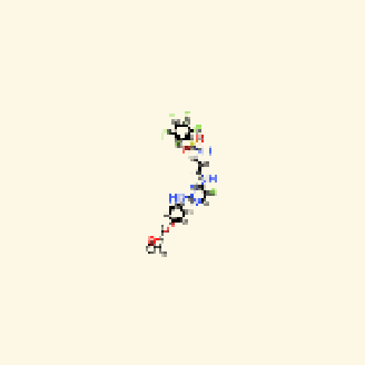 COCCOc1ccc(Nc2ncc(F)c(NCCCNS(=O)(=O)c3c(F)c(F)c(F)c(F)c3F)n2)cc1